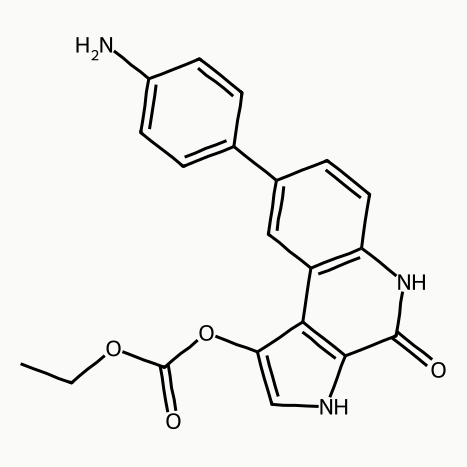 CCOC(=O)Oc1c[nH]c2c(=O)[nH]c3ccc(-c4ccc(N)cc4)cc3c12